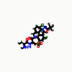 CC[C@H](NC)C(=O)NC1=CS(=O)(=O)c2cc(F)c(-c3nnc(C(C)(C)C)o3)cc2N(Cc2ccc(Cl)cc2)C1=O